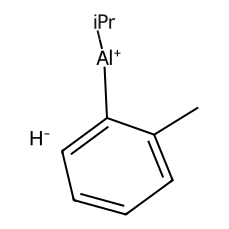 Cc1cccc[c]1[Al+][CH](C)C.[H-]